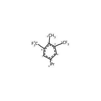 Cc1c(C(F)(F)F)cc(C(C)C)cc1C(F)(F)F